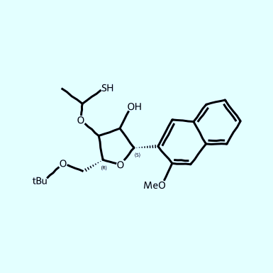 COc1cc2ccccc2cc1[C@@H]1O[C@H](COC(C)(C)C)C(OC(C)S)C1O